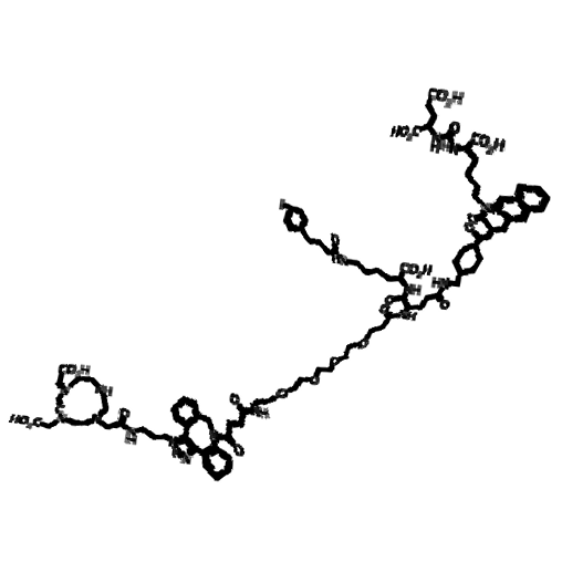 O=C(O)CCC(NC(=O)NC(CCCCNC(=O)C(CC(=O)C1CCC(CNC(=O)CCC(NC(=O)CCOCCOCCOCCOCCNC(=O)CCC(=O)N2Cc3ccccc3-c3c(nnn3CCCNC(=O)CN3CCNCCN(CC(=O)O)CCN(CC(=O)O)CC3)-c3ccccc32)C(=O)NC(CCCCNC(=O)CCCc2ccc(I)cc2)C(=O)O)CC1)Cc1ccc2ccccc2c1)C(=O)O)C(=O)O